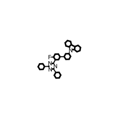 Fc1ccc(-c2cccc(-n3c4ccccc4c4ccccc43)c2)cc1-c1nc(-c2ccccc2)nc(-c2ccccc2)n1